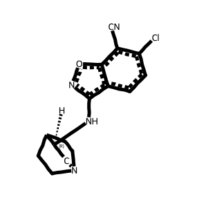 N#Cc1c(Cl)ccc2c(N[C@H]3CN4CCC3CC4)noc12